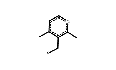 Cc1ccnc(C)c1CF